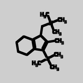 CC1=[C]([Ti]([CH3])([CH3])[CH3])C2=C(CCCC2)C1C[Si](C)(C)C